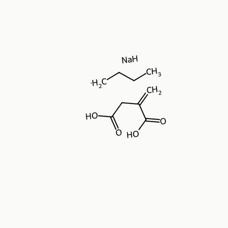 C=C(CC(=O)O)C(=O)O.[CH2]CCC.[NaH]